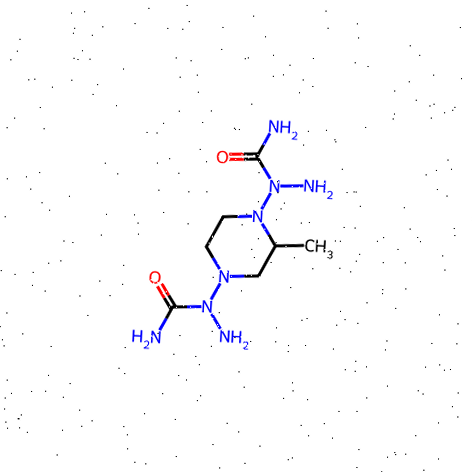 CC1CN(N(N)C(N)=O)CCN1N(N)C(N)=O